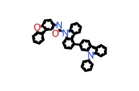 c1ccc(-n2c3ccccc3c3ccc(-c4cccc5c4c4ccccc4n5-c4nc5ccc6oc7ccccc7c6c5o4)cc32)cc1